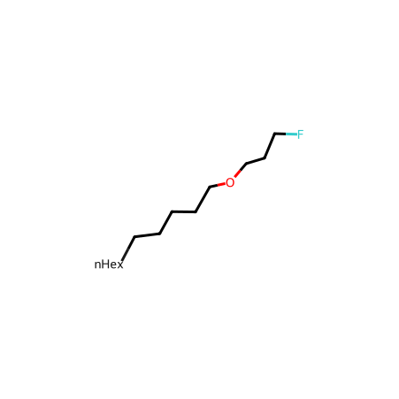 [CH2]CCCCCCCCCCOCCCF